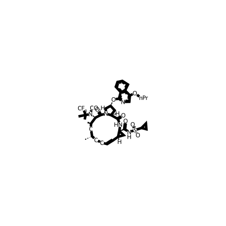 CCCOc1cnc(O[C@@H]2C[C@H]3C(=O)N[C@]4(C(=O)NS(=O)(=O)C5CC5)C[C@H]4C=CCC[C@H](C)C[C@@H](C)[C@H](N(C(=O)O)C(C)(C)C(F)(F)F)C(=O)N3C2)c2ccccc12